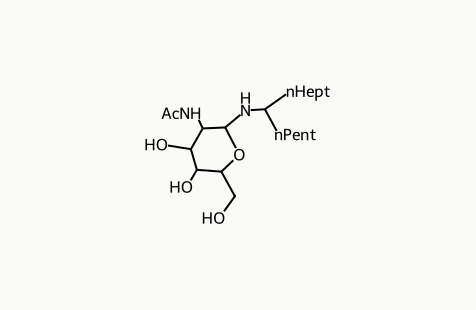 CCCCCCCC(CCCCC)NC1OC(CO)C(O)C(O)C1NC(C)=O